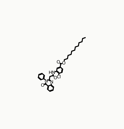 CCCCCCCCCCCCOC(=O)c1ccc(Cl)c(NC(=O)Cc2nc3ccccc3c(=O)n2-c2ccccc2)c1